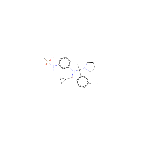 CC(=O)Oc1cccc(C(C)(N2CCCC2)N(C(=O)C2CC2)c2cccc(NS(C)(=O)=O)c2)c1